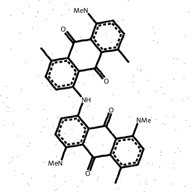 CNc1ccc(C)c2c1C(=O)c1c(C)ccc(Nc3ccc(NC)c4c3C(=O)c3c(NC)ccc(C)c3C4=O)c1C2=O